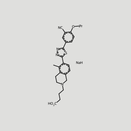 Cc1c(-c2nnc(-c3ccc(OC(C)C)c(C#N)c3)s2)ccc2c1CCN(CCCC(=O)O)C2.[NaH]